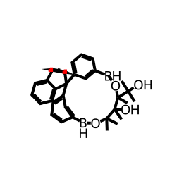 CC(C)(O)C1(C)OBc2cccc(c2)C2(c3cccc(c3)BOC(C)(C)C1(C)O)c1ccccc1-c1ccccc12